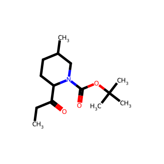 CCC(=O)C1CCC(C)CN1C(=O)OC(C)(C)C